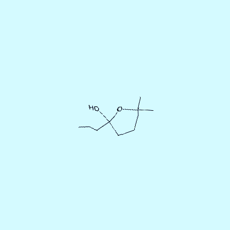 CCC1(O)CCC(C)(C)O1